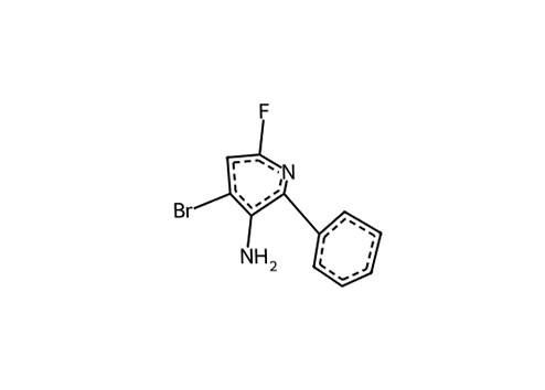 Nc1c(Br)cc(F)nc1-c1ccccc1